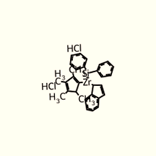 CC1=C(C)C(C)[C]([Zr]([CH]2C=Cc3ccccc32)=[Si](c2ccccc2)c2ccccc2)=C1C.Cl.Cl